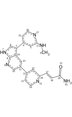 CNc1cc(-c2c[nH]c3ncc(-c4ccnc(/C=C/C(N)=O)c4)cc23)ccn1